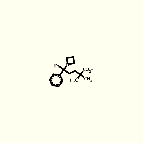 CC(C)C(CCC(C)(C)C(=O)O)(c1ccccc1)N1CCC1